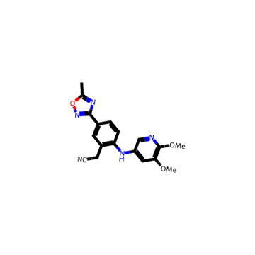 COc1cc(Nc2ccc(-c3noc(C)n3)cc2CC#N)cnc1OC